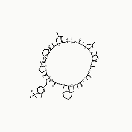 CC(C)C[C@H]1C(=O)N[C@@H](C(C)C)C(=O)N(C)CC(=O)N(C)CC(=O)N(C)[C@@H](CC2CCCCC2)C(=O)N(C)CC(=O)N[C@@H](CCc2ccc(C(F)(F)F)c(F)c2)C(=O)N2CCC[C@H]2C(=O)NC2(CCCC2)C(=O)N(C)[C@@H](CC(C)C)C(=O)N[C@H](C)CC(=O)N1C